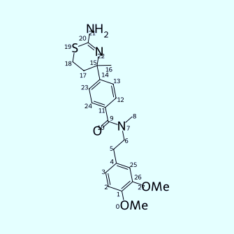 COc1ccc(CCN(C)C(=O)c2ccc(C3(C)CCSC(N)=N3)cc2)cc1OC